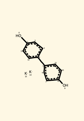 Oc1ccc(-c2ccc(O)cc2)cc1.[K].[K]